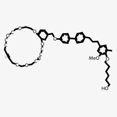 COc1cc(CCCc2ccc(-c3ccc(OCC4=C=C=C5OCCOCCOCCC/C=C\CCCOCCOCCOC5C4)cc3)cc2)cc(C)c1OCCCCCCO